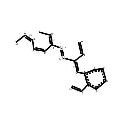 C=C/C(=C\c1ccccc1C=C)N=NC(/C=C\C=C/C)=C/C